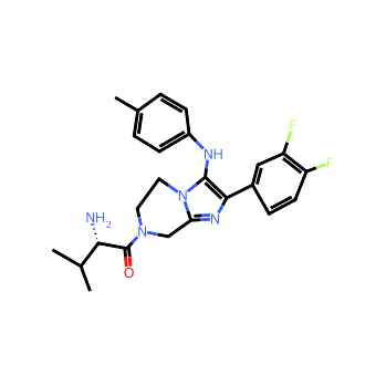 Cc1ccc(Nc2c(-c3ccc(F)c(F)c3)nc3n2CCN(C(=O)[C@@H](N)C(C)C)C3)cc1